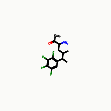 COC(=O)C(N)CC(C)C(C)c1cc(F)c(F)c(F)c1F